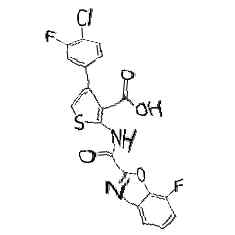 O=C(Nc1scc(-c2ccc(Cl)c(F)c2)c1C(=O)O)c1nc2cccc(F)c2o1